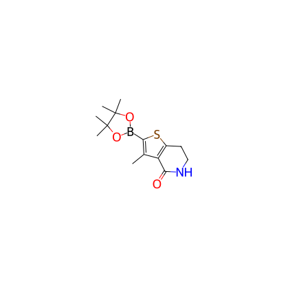 Cc1c(B2OC(C)(C)C(C)(C)O2)sc2c1C(=O)NCC2